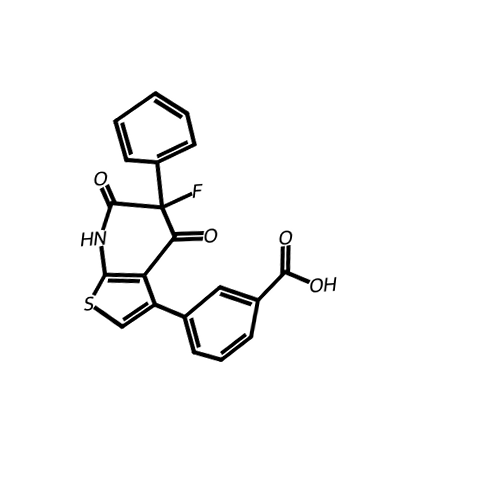 O=C(O)c1cccc(-c2csc3c2C(=O)C(F)(c2ccccc2)C(=O)N3)c1